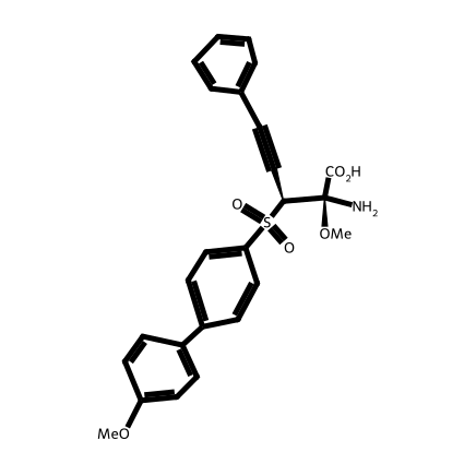 COc1ccc(-c2ccc(S(=O)(=O)[C@@H](C#Cc3ccccc3)[C@](N)(OC)C(=O)O)cc2)cc1